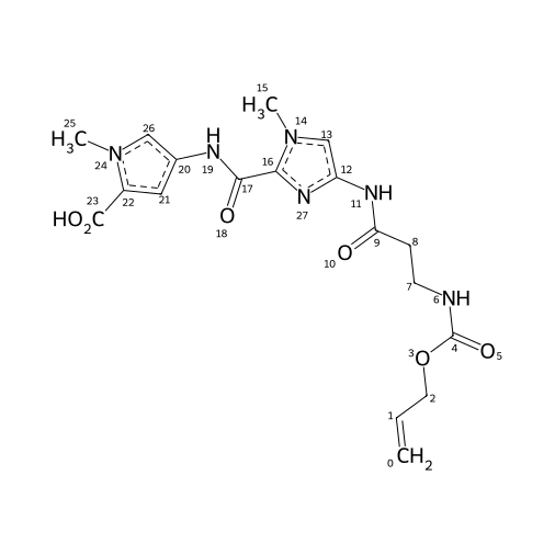 C=CCOC(=O)NCCC(=O)Nc1cn(C)c(C(=O)Nc2cc(C(=O)O)n(C)c2)n1